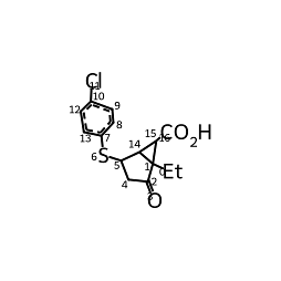 CCC12C(=O)CC(Sc3ccc(Cl)cc3)C1C2C(=O)O